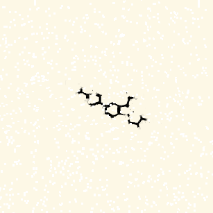 COC(=O)c1ncc(-c2ccc3c(c2)c(C(C)=O)nn3CC(C)C(C)C)cn1